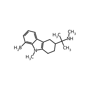 Bc1cccc2c3c(n(C)c12)CCC(C(C)(C)NC)C3